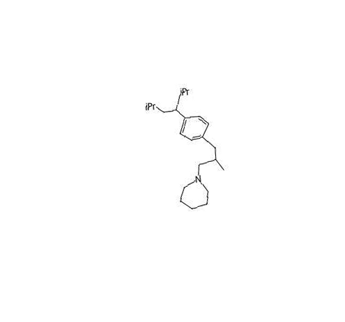 CC(C)CC(c1ccc(CC(C)CN2CCCCC2)cc1)C(C)C